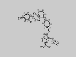 O=C(O)c1ccc2nc(Cc3ccc(-c4cccc5c4OCC(c4ccc(Cl)cc4F)O5)cc3)n(C[C@@H]3CCO3)c2n1